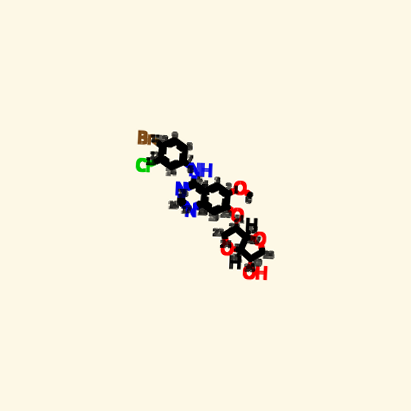 COc1cc2c(Nc3ccc(Br)c(Cl)c3)ncnc2cc1O[C@H]1CO[C@H]2[C@H]1OC[C@H]2O